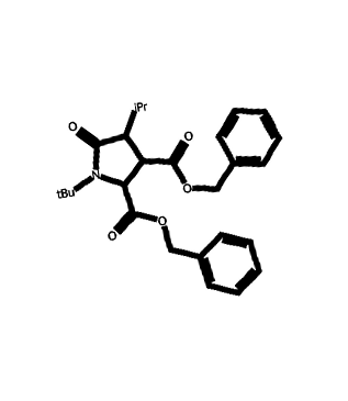 CC(C)C1C(=O)N(C(C)(C)C)C(C(=O)OCc2ccccc2)C1C(=O)OCc1ccccc1